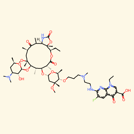 CC[C@H]1OC(=O)[C@H](C)[C@@H](O[C@H]2C[C@@](C)(OC)[C@@H](OCCCN(C)CCNc3nc4c(cc3F)c(=O)c(C(=O)O)cn4CC)[C@H](C)O2)[C@H](C)[C@@H](O[C@@H]2O[C@H](C)C[C@H](N(C)C)[C@H]2O)[C@](C)(OC)C[C@@H](C)C(=O)C(C)[C@H]2NC(=O)O[C@@]21C